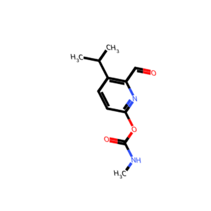 CNC(=O)Oc1ccc(C(C)C)c(C=O)n1